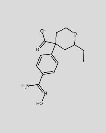 CCC1CC(C(=O)O)(c2ccc(C(N)=NO)cc2)CCO1